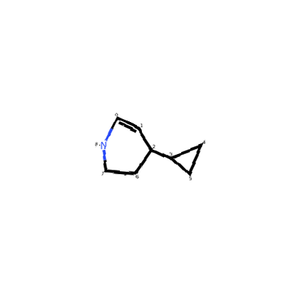 C1=CC(C2CC2)CC[N]1